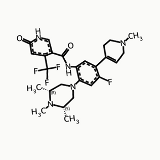 C[C@@H]1CN(c2cc(F)c(C3=CCN(C)CC3)cc2NC(=O)c2c[nH]c(=O)cc2C(F)(F)F)C[C@H](C)N1C